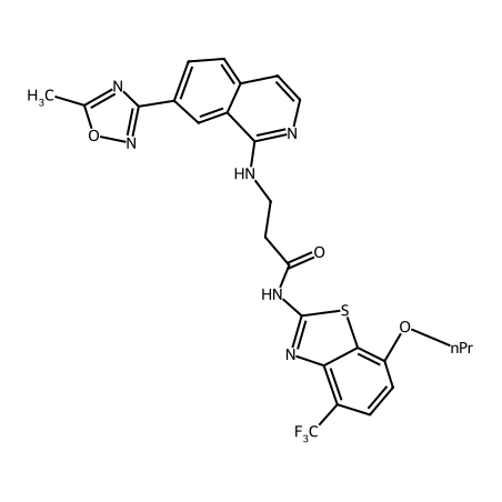 CCCOc1ccc(C(F)(F)F)c2nc(NC(=O)CCNc3nccc4ccc(-c5noc(C)n5)cc34)sc12